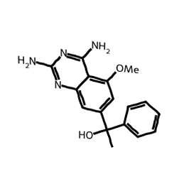 COc1cc(C(C)(O)c2ccccc2)cc2nc(N)nc(N)c12